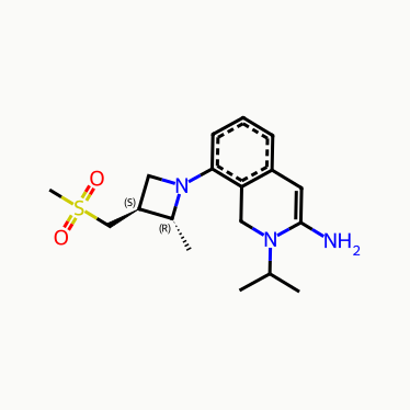 CC(C)N1Cc2c(cccc2N2C[C@H](CS(C)(=O)=O)[C@H]2C)C=C1N